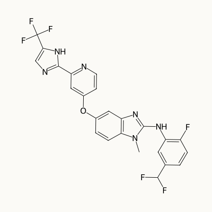 Cn1c(Nc2cc(C(F)F)ccc2F)nc2cc(Oc3ccnc(-c4ncc(C(F)(F)F)[nH]4)c3)ccc21